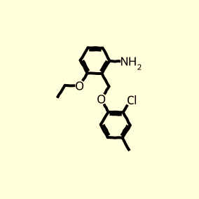 CCOc1cccc(N)c1COc1ccc(C)cc1Cl